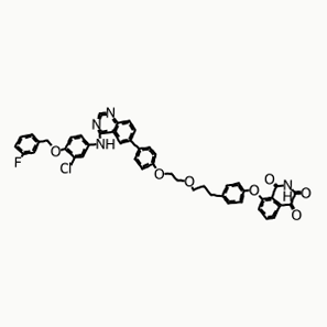 O=C1NC(=O)c2c(Oc3ccc(CCCOCCOc4ccc(-c5ccc6ncnc(Nc7ccc(OCc8cccc(F)c8)c(Cl)c7)c6c5)cc4)cc3)cccc2C1=O